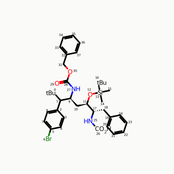 CC(C)(C)C(c1ccc(Br)cc1)[C@H](C[C@@H](O[Si](C)(C)C(C)(C)C)[C@H](Cc1ccccc1)NC(=O)O)NC(=O)OCc1ccccc1